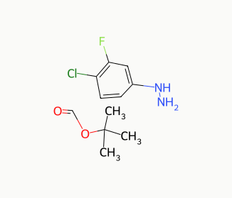 CC(C)(C)OC=O.NNc1ccc(Cl)c(F)c1